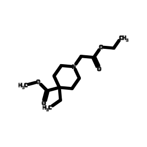 CCOC(=O)CN1CCC(CC)(C(=O)OC)CC1